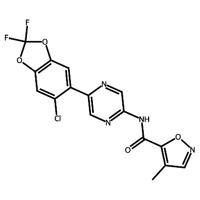 Cc1cnoc1C(=O)Nc1cnc(-c2cc3c(cc2Cl)OC(F)(F)O3)cn1